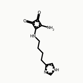 Nc1c(NCCCCc2c[nH]cn2)c(=O)c1=O